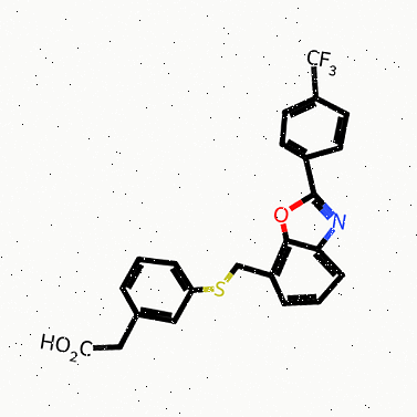 O=C(O)Cc1cccc(SCc2cccc3nc(-c4ccc(C(F)(F)F)cc4)oc23)c1